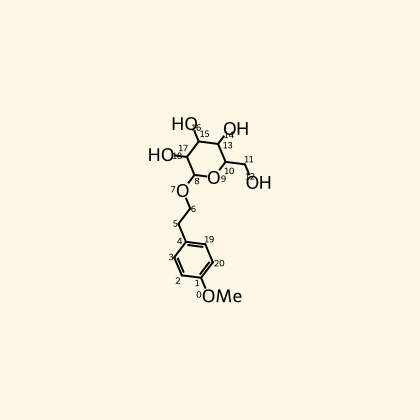 COc1ccc(CCOC2OC(CO)C(O)C(O)C2O)cc1